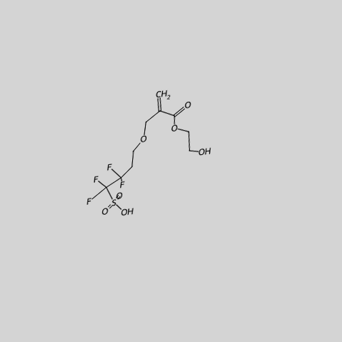 C=C(COCCC(F)(F)C(F)(F)S(=O)(=O)O)C(=O)OCCO